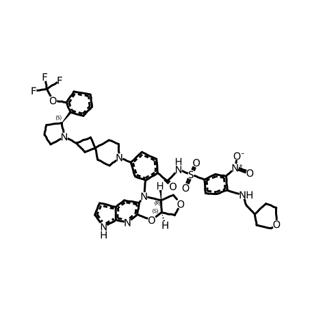 O=C(NS(=O)(=O)c1ccc(NCC2CCOCC2)c([N+](=O)[O-])c1)c1ccc(N2CCC3(CC2)CC(N2CCC[C@H]2c2ccccc2OC(F)(F)F)C3)cc1N1c2cc3cc[nH]c3nc2O[C@@H]2COC[C@H]21